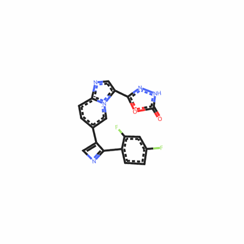 O=c1[nH]nc(-c2cnc3ccc(C4=CN=C4c4ccc(F)cc4F)cn23)o1